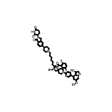 CCOc1cc(-c2ccc(N3CCC(CN(C(=O)CCCCCCN4CCC(c5ccc6c(c5)CN(C5CCC(=O)NC5=O)C6=O)CC4)C(C)C)(NC(=O)c4cc(F)ccc4F)CC3)nc2)c2c(C#N)cnn2c1